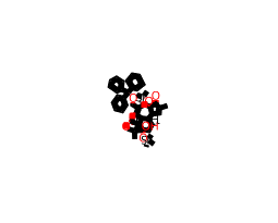 CC(=O)C12[C@@H]3C=C(COC(c4ccccc4)(c4ccccc4)c4ccccc4)C[C@]4(O[Si](C)(C)C)C(=O)C(C)=C[C@H]4[C@@]3(O)[C@H](C)CC1(O[Si](C)(C)C)C2(C)C